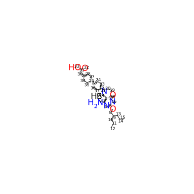 B=C1c2c(N)nc(OCC(CCC)CCC)nc2OCCN1C1=CCC([C@H]2CC[C@H](CC(=O)O)CC2)C=C1